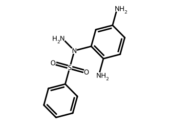 Nc1ccc(N)c(N(N)S(=O)(=O)c2ccccc2)c1